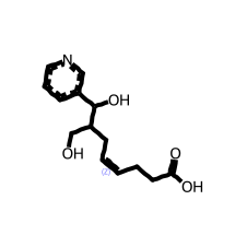 O=C(O)CC/C=C\CC(CO)C(O)c1cccnc1